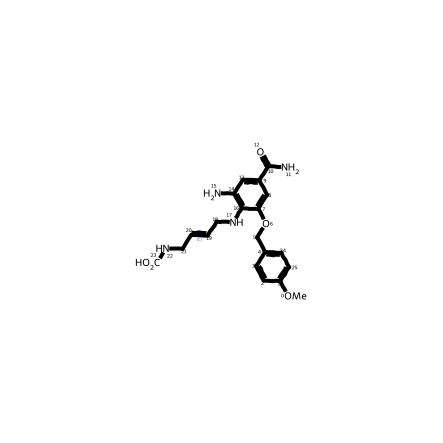 COc1ccc(COc2cc(C(N)=O)cc(N)c2NC/C=C/CNC(=O)O)cc1